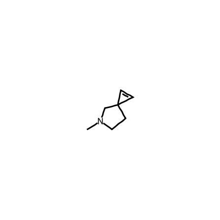 CN1CCC2(C=C2)C1